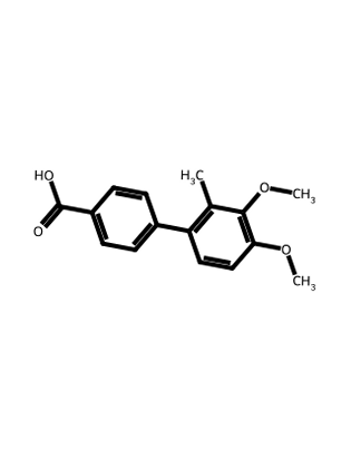 COc1ccc(-c2ccc(C(=O)O)cc2)c(C)c1OC